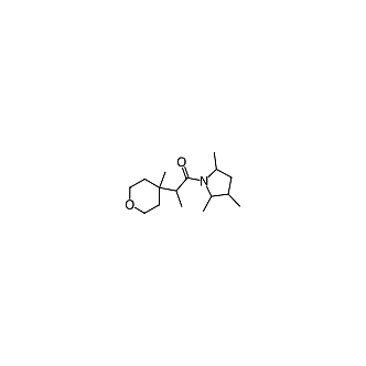 CC1CC(C)N(C(=O)C(C)C2(C)CCOCC2)C1C